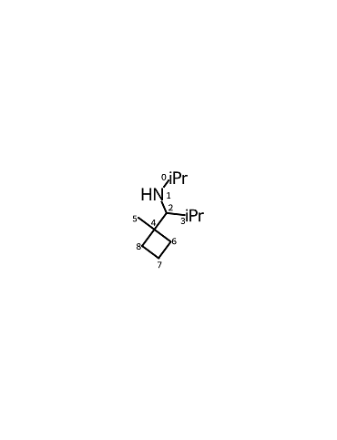 CC(C)NC(C(C)C)C1(C)CCC1